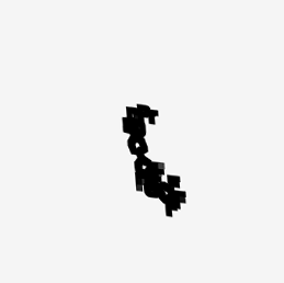 CCCC1CCC(C2CCC(c3ccc(C(F)(F)Oc4cc(F)c(F)c(F)c4)c(F)c3)CC2)O1